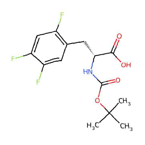 CC(C)(C)OC(=O)N[C@H](Cc1cc(F)c(F)cc1F)C(=O)O